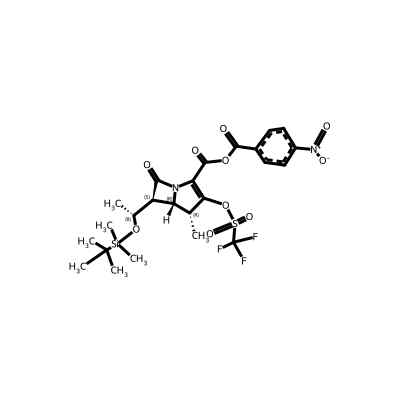 C[C@@H](O[Si](C)(C)C(C)(C)C)[C@H]1C(=O)N2C(C(=O)OC(=O)c3ccc([N+](=O)[O-])cc3)=C(OS(=O)(=O)C(F)(F)F)[C@H](C)[C@H]12